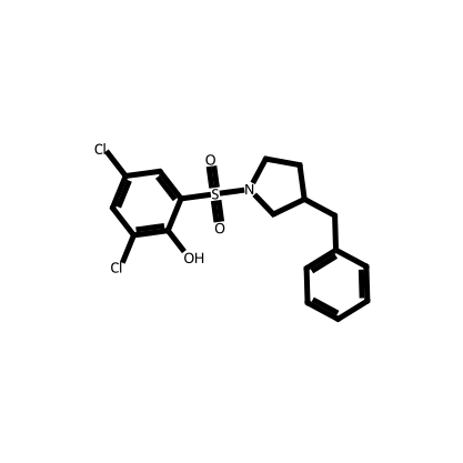 O=S(=O)(c1cc(Cl)cc(Cl)c1O)N1CCC(Cc2ccccc2)C1